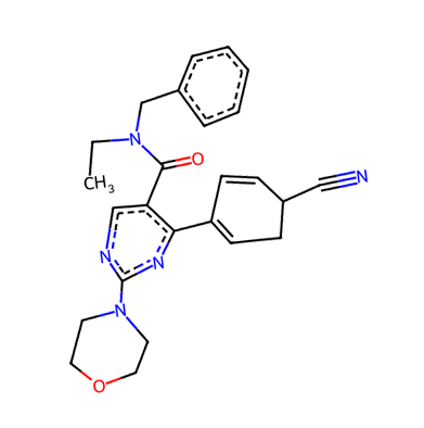 CCN(Cc1ccccc1)C(=O)c1cnc(N2CCOCC2)nc1C1=CCC(C#N)C=C1